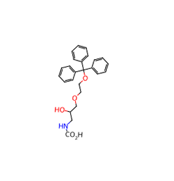 O=C(O)NCC(O)COCCOC(c1ccccc1)(c1ccccc1)c1ccccc1